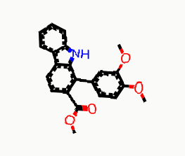 COC(=O)c1ccc2c([nH]c3ccccc32)c1-c1ccc(OC)c(OC)c1